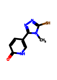 Cn1c(S)nnc1-c1ccc(=O)[nH]c1